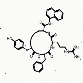 N=C(N)NCCC[C@@H]1NC(=O)[C@@H](Cc2ccccc2)NC(=O)[C@@H](Cc2ccc(O)cc2)CCCC[C@@H](C(=O)Nc2cccc3ccccc23)NC1=O